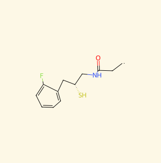 [CH2]CC(=O)NC[C@H](S)Cc1ccccc1F